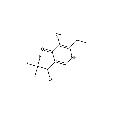 CCc1[nH]cc(C(O)C(F)(F)F)c(=O)c1O